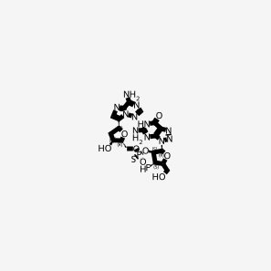 Nc1nc2c(nnn2[C@@H]2OC(CO)[C@H](F)[C@H]2OP(O)(=S)OC[C@H]2O[C@@H](c3cnc4c(N)ncnn34)C[C@@H]2O)c(=O)[nH]1